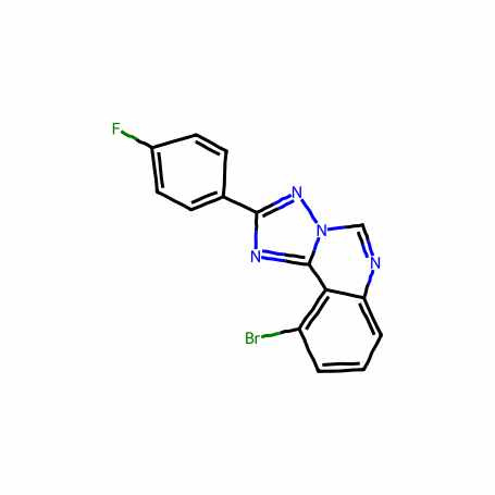 Fc1ccc(-c2nc3c4c(Br)cccc4ncn3n2)cc1